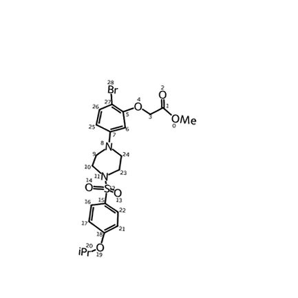 COC(=O)COc1cc(N2CCN(S(=O)(=O)c3ccc(OC(C)C)cc3)CC2)ccc1Br